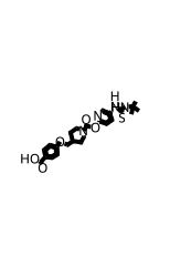 CC(C)(C)NC(=S)Nc1ccc(OC(=O)N2CCC(COc3ccc(C(=O)O)cc3)CC2)nc1